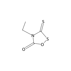 CCn1c(=O)osc1=S